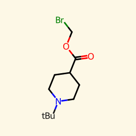 CC(C)(C)N1CCC(C(=O)OCBr)CC1